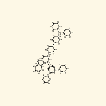 c1ccc(-c2nc(-c3ccccc3)nc(-c3cc(-c4ccc(-c5ccc(N(c6ccccc6)c6ccccc6)cc5)cc4)cc4oc5ccccc5c34)n2)cc1